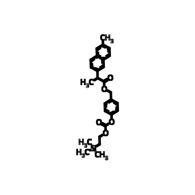 Cc1ccc2cc(C(C)C(=O)OCc3ccc(OC(=O)OCC[Si](C)(C)C)cc3)ccc2c1